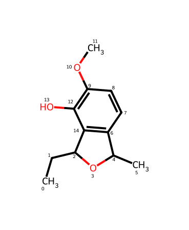 CCC1OC(C)c2ccc(OC)c(O)c21